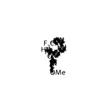 COCCCn1cc(C(=O)N2CCN(c3ccnc(-c4cnc5ccc(C(F)(F)F)cn45)n3)CC2c2cn[nH]c2)cn1